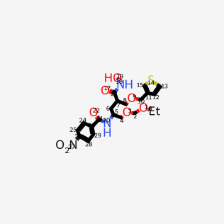 CCOCOCC(CC(COCc1ccsc1)C(=O)NO)NC(=O)c1ccc([N+](=O)[O-])cc1